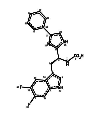 O=C(O)N[C@@H](Cc1c[nH]c2cc(F)c(F)cc12)c1nc(-c2ccccc2)c[nH]1